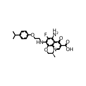 CC(C)c1ccc(OCCNc2c(F)c(N)c3c(=O)c(C(=O)O)cn4c3c2OC[C@@H]4C)cc1